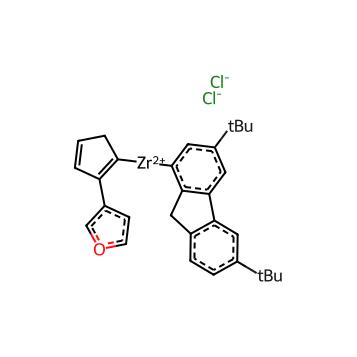 CC(C)(C)c1ccc2c(c1)-c1cc(C(C)(C)C)c[c]([Zr+2][C]3=C(c4ccoc4)C=CC3)c1C2.[Cl-].[Cl-]